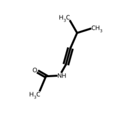 CC(=O)NC#CC(C)C